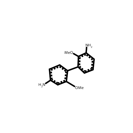 COc1cc(N)ccc1-c1cccc(N)c1OC